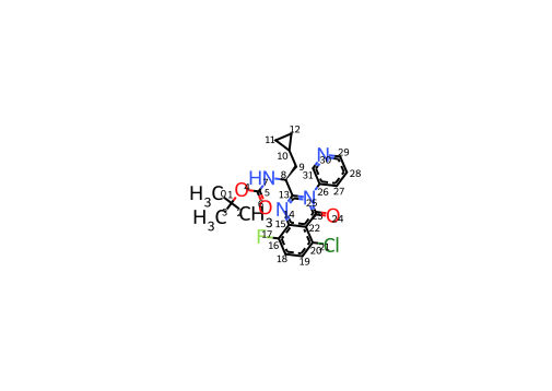 CC(C)(C)OC(=O)N[C@@H](CC1CC1)c1nc2c(F)ccc(Cl)c2c(=O)n1-c1cccnc1